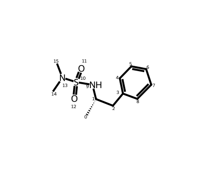 C[C@@H](Cc1ccccc1)NS(=O)(=O)N(C)C